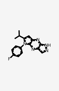 CC(C)c1cc2nc3[nH]ncc3nc2n1-c1ccc(F)cc1